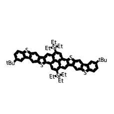 CC[Si](CC)(CC)c1cc2c3sc4cc5c(cc4c3cc3c([Si](CC)(CC)CC)cc4c6sc7cc8c(cc7c6cc1c4c32)sc1ccc(C(C)(C)C)cc18)sc1ccc(C(C)(C)C)cc15